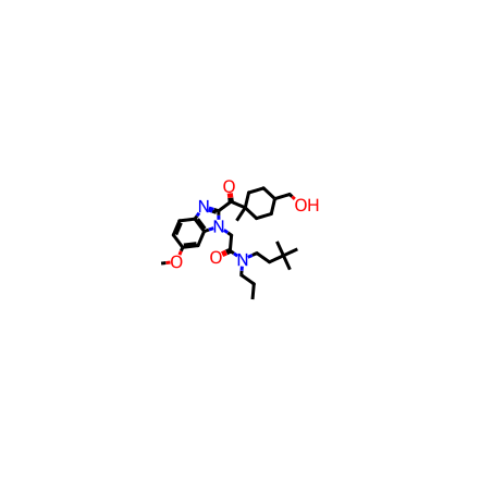 CCCN(CCC(C)(C)C)C(=O)Cn1c(C(=O)C2(C)CCC(CO)CC2)nc2ccc(OC)cc21